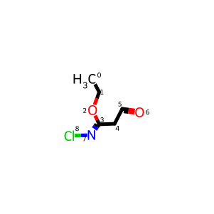 CCO/C(CC=O)=N\Cl